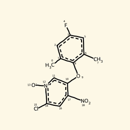 Cc1cc(F)cc(C)c1Oc1c[n+]([O-])c(Cl)cc1[N+](=O)[O-]